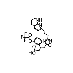 O=C(O)CC(Cc1nc(CCCc2ccc3c(n2)NCCC3)no1)c1cccc(OC(=O)C(F)(F)F)c1